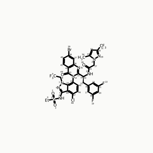 CCS(=O)(=O)Nc1nn(CC(F)(F)F)c2c(-n3c([C@H](Cc4cc(F)cc(F)c4)NC(=O)Cn4nc(C(F)(F)F)cc4C)nc4cc(Br)ccc4c3=O)ccc(Cl)c12